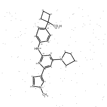 Cn1cc(-c2cc(N3CCCC3)nc(Nc3ccc(C4(C(=O)O)CCC4)cc3)n2)cn1